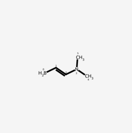 B/C=C/N(C)C